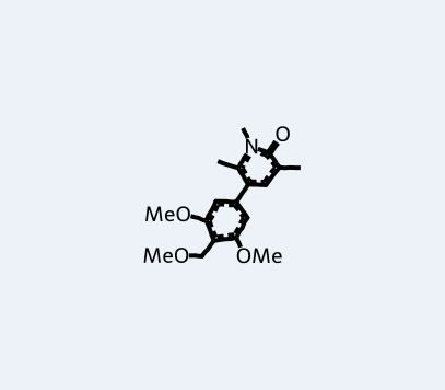 COCc1c(OC)cc(-c2cc(C)c(=O)n(C)c2C)cc1OC